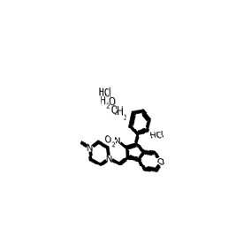 CN1CCN(Cc2c3ccocc-3c(-c3ccccc3)c2[N+](=O)[O-])CC1.Cl.Cl.O.O